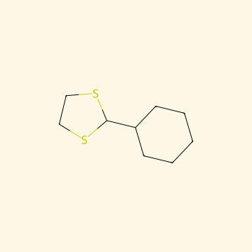 C1CCC(C2SCCS2)CC1